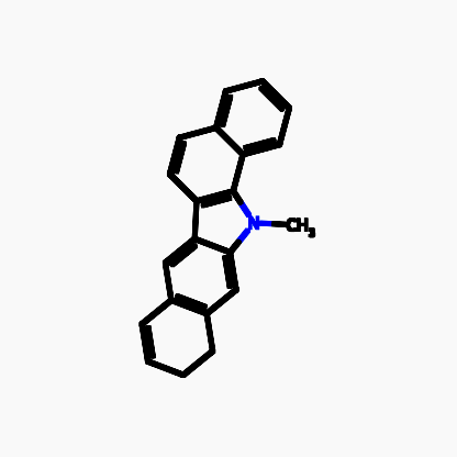 Cn1c2cc3c(cc2c2ccc4ccccc4c21)C=CCC3